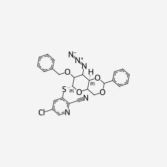 N#Cc1ncc(Cl)cc1S[C@H]1OC2COC(c3ccccc3)O[C@@H]2C(N=[N+]=[N-])C1OCc1ccccc1